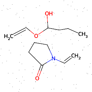 C=CN1CCCC1=O.C=COC(O)CCC